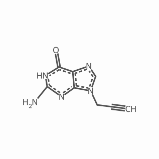 C#CCn1cnc2c(=O)[nH]c(N)nc21